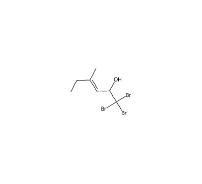 CCC(C)=CC(O)C(Br)(Br)Br